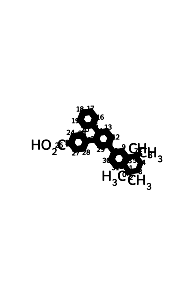 CC1(C)CCC(C)(C)c2cc(-c3ccc(-c4ccccc4)c(-c4ccc(C(=O)O)cc4)c3)ccc21